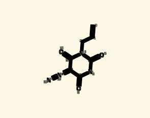 C=CCN1C(=O)[N]C(=O)C(=[N+]=[N-])C1=O